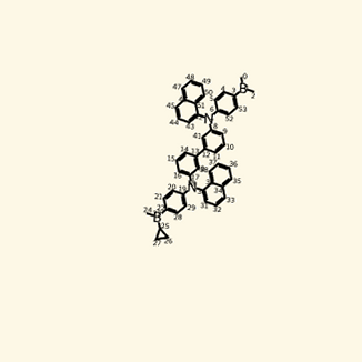 CB(C)c1ccc(N(c2cccc(-c3cccc(N(c4ccc(B(C)C5CC5)cc4)c4cccc5ccccc45)c3)c2)c2cccc3ccccc23)cc1